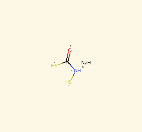 O=C(S)NS.[NaH]